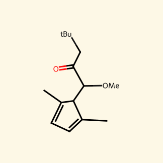 COC(C(=O)CC(C)(C)C)C1C(C)=CC=C1C